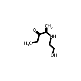 C=C(NCCO)C(=O)CC